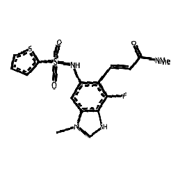 CNC(=O)C=Cc1c(NS(=O)(=O)c2cccs2)cc2c(c1F)NCN2C